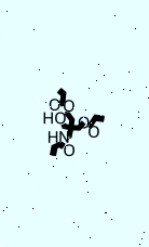 C=CC(=O)NCC(CO)(CCOC(=O)C=C)COC(=O)C=C